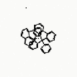 c1ccc(C2(c3ccccc3-c3cccc4c3Oc3cccc5cccc-4c35)c3ccccc3-c3ccccc32)cc1